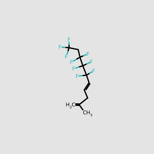 C=C(C)C/C=C/C(F)(F)C(F)(F)C(F)(F)CC(F)(F)F